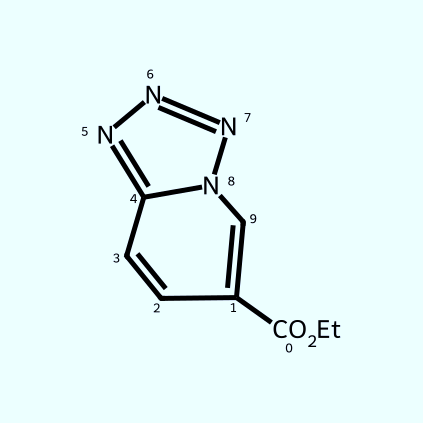 CCOC(=O)c1ccc2nnnn2c1